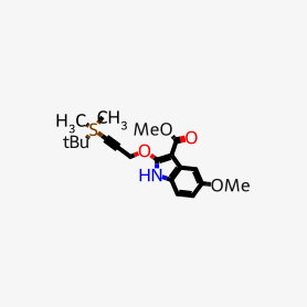 COC(=O)c1c(OCC#CS(C)(C)C(C)(C)C)[nH]c2ccc(OC)cc12